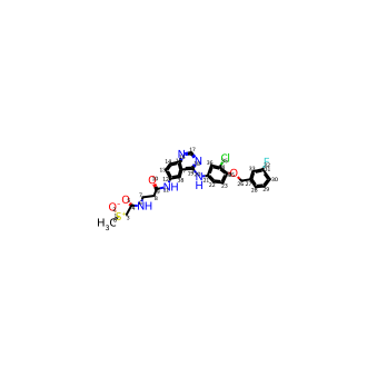 C[S+]([O-])CC(=O)NCCC(=O)Nc1ccc2ncnc(Nc3ccc(OCc4cccc(F)c4)c(Cl)c3)c2c1